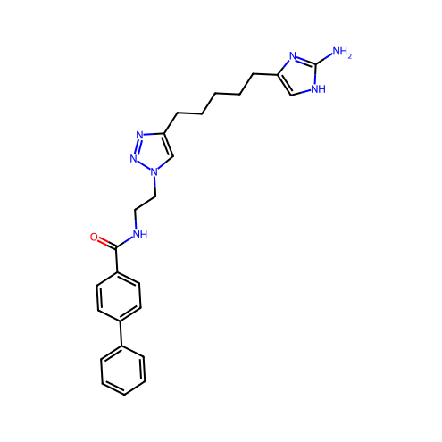 Nc1nc(CCCCCc2cn(CCNC(=O)c3ccc(-c4ccccc4)cc3)nn2)c[nH]1